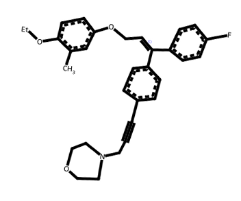 CCOc1ccc(OC/C=C(/c2ccc(F)cc2)c2ccc(C#CCN3CCOCC3)cc2)cc1C